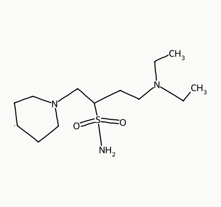 CCN(CC)CCC(CN1CC[CH]CC1)S(N)(=O)=O